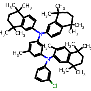 Cc1cc(N(c2ccc3c(c2)C(C)(C)CCC3(C)C)c2ccc3c(c2)C(C)(C)CCC3(C)C)cc(N(c2cccc(Cl)c2)c2cc3c(cc2C)C(C)(C)CCC3(C)C)c1